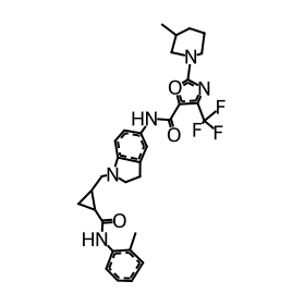 Cc1ccccc1NC(=O)C1CC1CN1CCc2cc(NC(=O)c3oc(N4CCCC(C)C4)nc3C(F)(F)F)ccc21